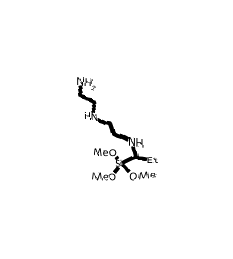 CCC(NCCNCCN)[Si](OC)(OC)OC